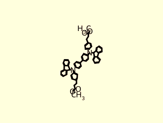 COC(=O)CCc1ccc(N(c2ccc(-c3ccc(N(c4ccc(CCC(=O)OC)cc4)C4c5ccccc5-c5ccccc54)cc3)cc2)C2c3ccccc3-c3ccccc32)cc1